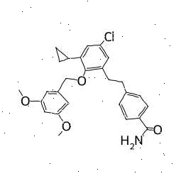 COc1cc(COc2c(CCc3ccc(C(N)=O)cc3)cc(Cl)cc2C2CC2)cc(OC)c1